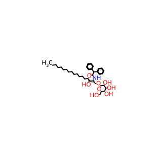 CCCCCCCCCCCCCCC[C@@H](O)[C@H](COC1OC(CO)C(O)C(O)C1O)NC(=O)C(c1ccccc1)c1ccccc1